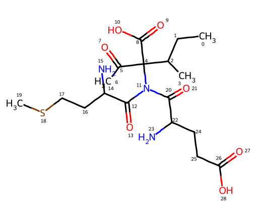 CCC(C)C(C(C)=O)(C(=O)O)N(C(=O)C(N)CCSC)C(=O)C(N)CCC(=O)O